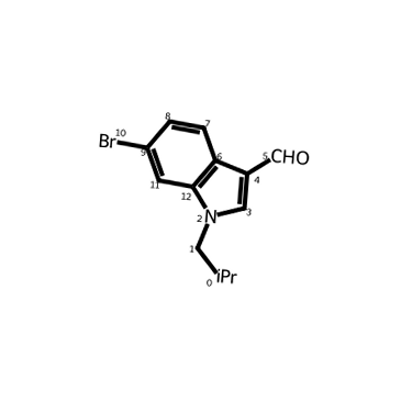 CC(C)Cn1cc(C=O)c2ccc(Br)cc21